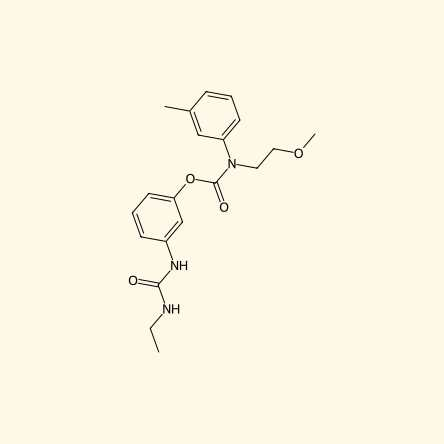 CCNC(=O)Nc1cccc(OC(=O)N(CCOC)c2cccc(C)c2)c1